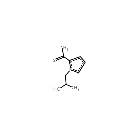 CC(C)Cn1cccc1C(N)=S